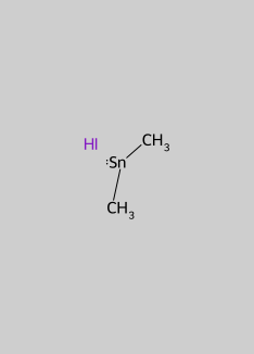 I.[CH3][Sn][CH3]